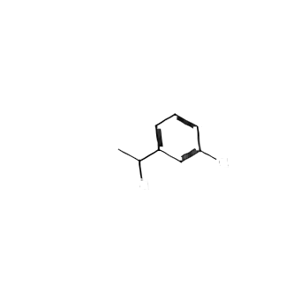 [CH2]C(Cl)c1cc[c]c(Cl)c1